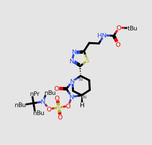 CCCCN(OS(=O)(=O)ON1C(=O)N2C[C@@H]1CC[C@H]2c1nnc(CCNC(=O)OC(C)(C)C)s1)C(CCC)(CCCC)CCCC